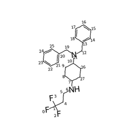 FC(F)(F)CCNC1CCC(N(Cc2ccccc2)Cc2ccccc2)CC1